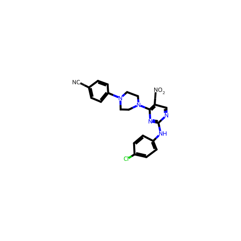 N#Cc1ccc(N2CCN(c3nc(Nc4ccc(Cl)cc4)ncc3[N+](=O)[O-])CC2)cc1